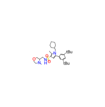 Cc1c(S(=O)(=O)NCC2COCCN2C)cc(-c2cc(C(C)(C)C)cc(C(C)(C)C)c2)n1CC1CCCCC1